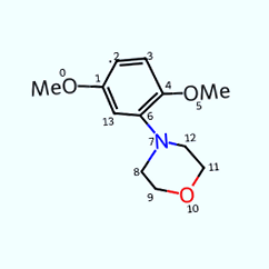 COc1[c]cc(OC)c(N2CCOCC2)c1